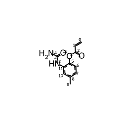 C=CC(=O)Oc1ccc(C)cc1NC(N)=O